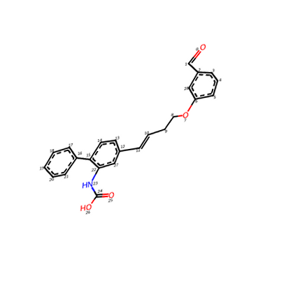 O=Cc1cccc(OCCC=Cc2ccc(-c3ccccc3)c(NC(=O)O)c2)c1